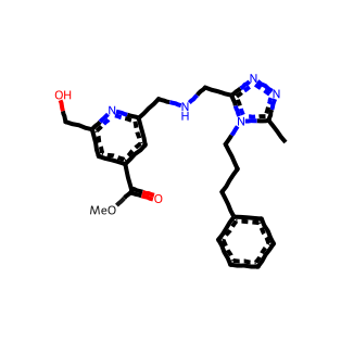 COC(=O)c1cc(CO)nc(CNCc2nnc(C)n2CCCc2ccccc2)c1